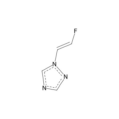 FC=Cn1cncn1